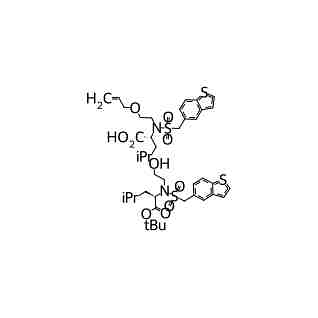 C=CCOCCN([C@H](CC(C)C)C(=O)O)S(=O)(=O)Cc1ccc2sccc2c1.CC(C)C[C@H](C(=O)OC(C)(C)C)N(CCO)S(=O)(=O)Cc1ccc2sccc2c1